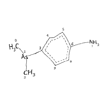 C[As](C)c1ccc(N)cc1